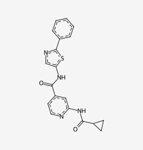 O=C(Nc1cnc(-c2ccccc2)s1)c1ccnc(NC(=O)C2CC2)c1